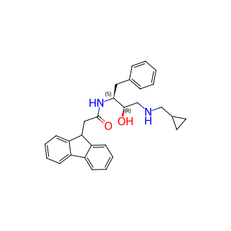 O=C(CC1c2ccccc2-c2ccccc21)N[C@@H](Cc1ccccc1)[C@H](O)CNCC1CC1